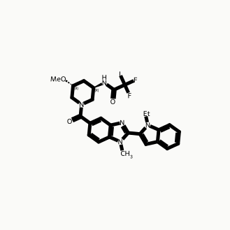 CCn1c(-c2nc3cc(C(=O)N4C[C@H](NC(=O)C(F)(F)I)C[C@@H](OC)C4)ccc3n2C)cc2ccccc21